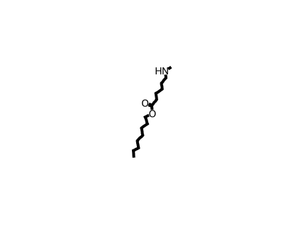 CCCCCCCCOC(=O)CCCCCNC